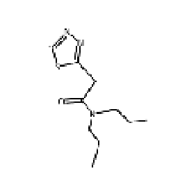 CCCN(CCC)C(=O)Cc1nn[c]s1